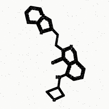 O=c1c2c(NC3COC3)cccc2cnn1CCc1cn2ccccc2n1